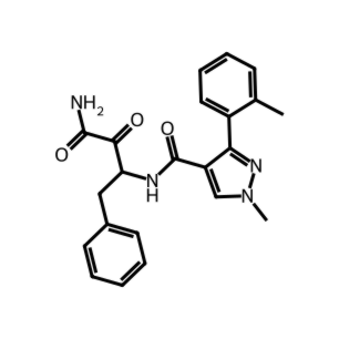 Cc1ccccc1-c1nn(C)cc1C(=O)NC(Cc1ccccc1)C(=O)C(N)=O